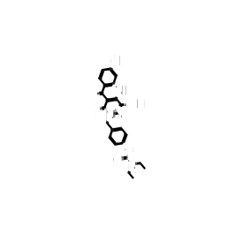 CCN(CC)C(=O)Oc1ccc(Cn2nc(O)c3[nH]c4cc(Cl)ccc4c(=O)c3c2=O)cc1